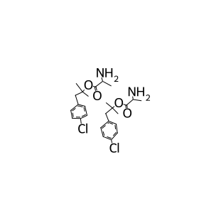 CC(N)C(=O)OC(C)(C)Cc1ccc(Cl)cc1.CC(N)C(=O)OC(C)(C)Cc1ccc(Cl)cc1